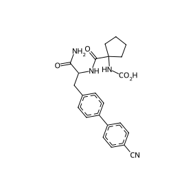 N#Cc1ccc(-c2ccc(CC(NC(=O)C3(NC(=O)O)CCCC3)C(N)=O)cc2)cc1